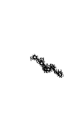 Fc1cccc(COc2ccc(Nc3ncnc4ccc(-c5occc5CNCC5CCCCC5)cc34)cc2Cl)c1